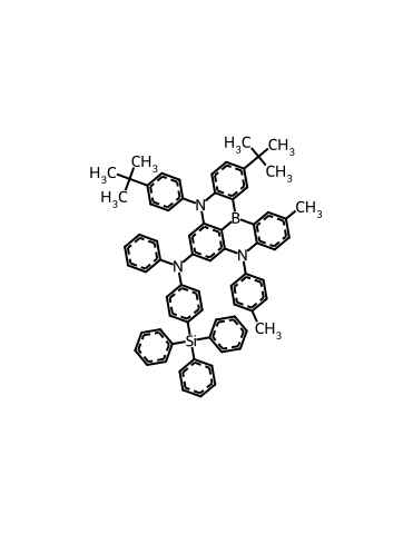 Cc1ccc(N2c3ccc(C)cc3B3c4cc(C(C)(C)C)ccc4N(c4ccc(C(C)(C)C)cc4)c4cc(N(c5ccccc5)c5ccc([Si](c6ccccc6)(c6ccccc6)c6ccccc6)cc5)cc2c43)cc1